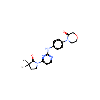 CC(C)[C@]1(C#N)CCN(c2ccnc(Nc3ccc(N4CCOCC4=O)cc3)n2)C1=O